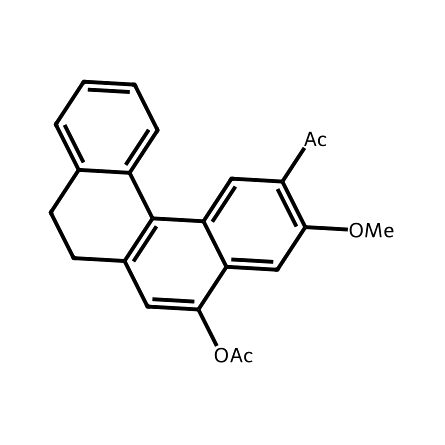 COc1cc2c(OC(C)=O)cc3c(c2cc1C(C)=O)-c1ccccc1CC3